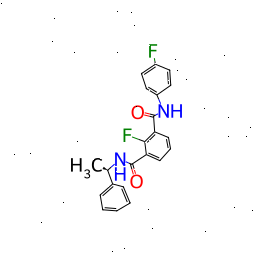 C[C@@H](NC(=O)c1cccc(C(=O)Nc2ccc(F)cc2)c1F)c1ccccc1